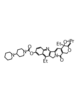 C=C1OCc2c(cc3n(c2=O)Cc2c-3nc3ccc(OC(=O)N4CCC(N5CCCCC5)CC4)cc3c2CC)[C@]1(CC)OC(C)C